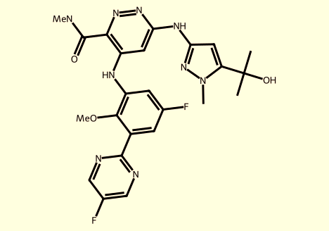 CNC(=O)c1nnc(Nc2cc(C(C)(C)O)n(C)n2)cc1Nc1cc(F)cc(-c2ncc(F)cn2)c1OC